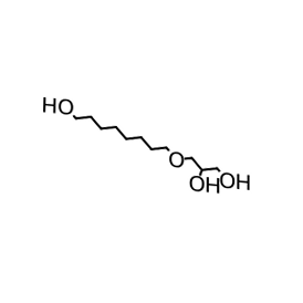 OCCCCCCCCOCC(O)CO